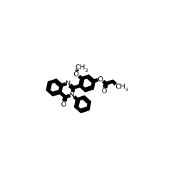 CCC(=O)Oc1ccc(-c2nc3ccccc3c(=O)n2-c2ccccc2)c(OC)c1